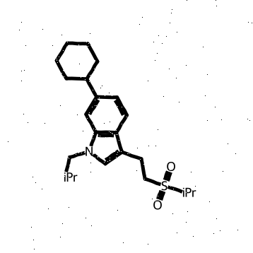 CC(C)Cn1cc(CCS(=O)(=O)C(C)C)c2ccc(C3CCCCC3)cc21